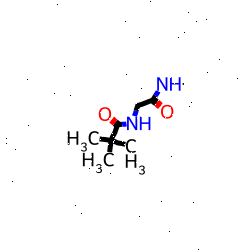 CC(C)(C)C(=O)NCC([NH])=O